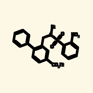 CCOC(=O)c1ccc(-c2ccccc2)c(CN(CC)S(=O)(=O)c2ccccc2[N+](=O)[O-])c1